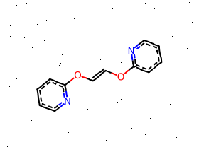 C(=COc1ccccn1)Oc1ccccn1